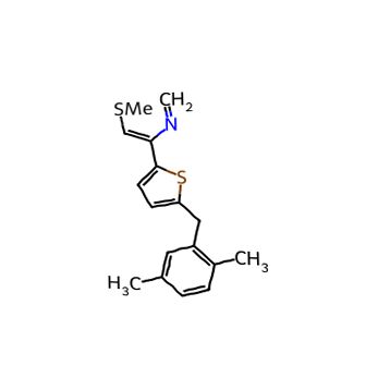 C=N/C(=C\SC)c1ccc(Cc2cc(C)ccc2C)s1